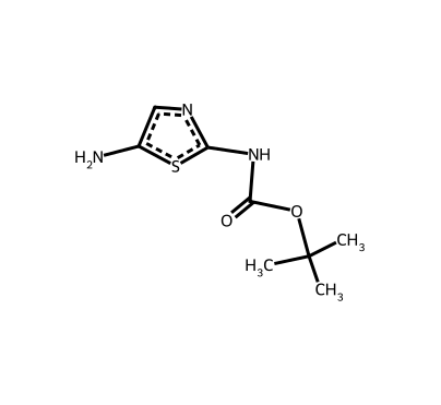 CC(C)(C)OC(=O)Nc1ncc(N)s1